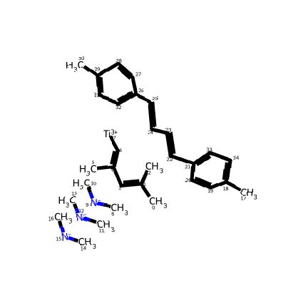 CC(C)=CC(C)=[CH][Ti+3].C[N-]C.C[N-]C.C[N-]C.Cc1ccc(C=CC=Cc2ccc(C)cc2)cc1